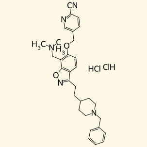 CN(C)Cc1c(OCc2ccc(C#N)nc2)ccc2c(CCC3CCN(Cc4ccccc4)CC3)noc12.Cl.Cl